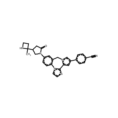 CC1(C2CC(=O)N(c3ccc4c(c3)Cn3cc(-c5ccc(C#N)cc5)cc3-c3nccn3-4)C2)CCN1